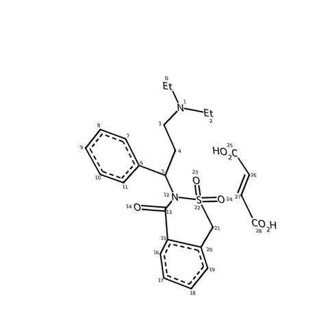 CCN(CC)CCC(c1ccccc1)N1C(=O)c2ccccc2CS1(=O)=O.O=C(O)/C=C/C(=O)O